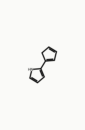 C1=CCC(c2ccc[nH]2)=C1